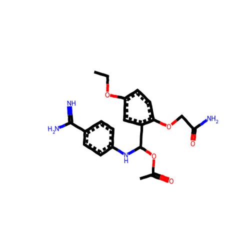 CCOc1ccc(OCC(N)=O)c(C(Nc2ccc(C(=N)N)cc2)OC(C)=O)c1